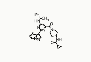 CC(C)[C@H](C)Nc1cc(C(=O)N2CCC(NC(=O)C3CC3)CC2)nc(-c2cnn3ccsc23)n1